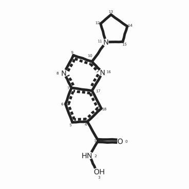 O=C(NO)c1ccc2ncc(N3CCCC3)nc2c1